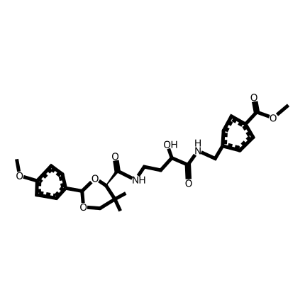 COC(=O)c1ccc(CNC(=O)C(O)CCNC(=O)[C@@H]2OC(c3ccc(OC)cc3)OCC2(C)C)cc1